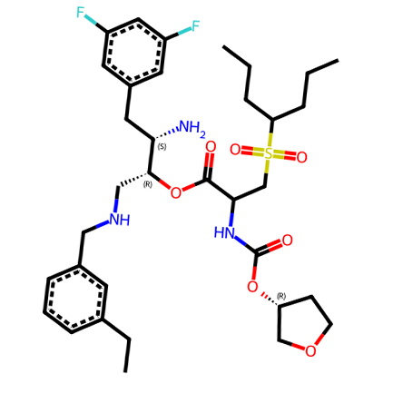 CCCC(CCC)S(=O)(=O)CC(NC(=O)O[C@@H]1CCOC1)C(=O)O[C@H](CNCc1cccc(CC)c1)[C@@H](N)Cc1cc(F)cc(F)c1